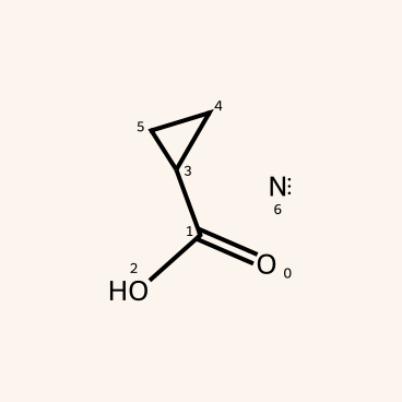 O=C(O)C1CC1.[N]